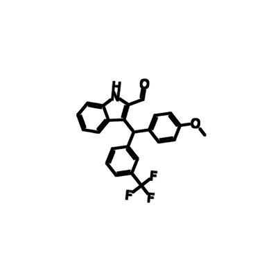 COc1ccc(C(c2cccc(C(F)(F)F)c2)c2c(C=O)[nH]c3ccccc23)cc1